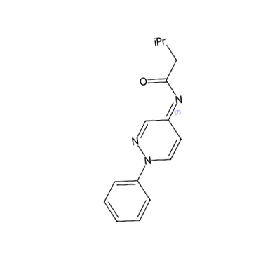 CC(C)CC(=O)/N=c1/ccn(-c2ccccc2)nc1